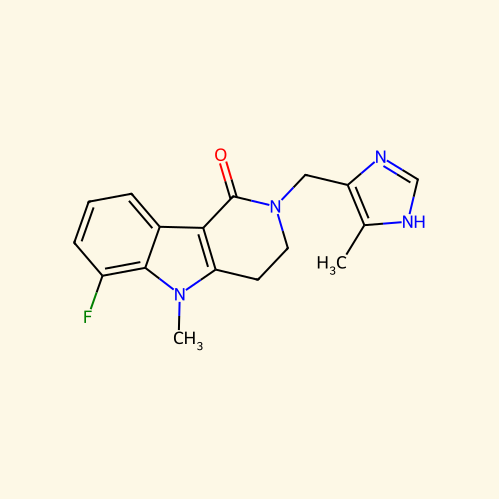 Cc1[nH]cnc1CN1CCc2c(c3cccc(F)c3n2C)C1=O